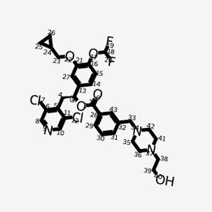 O=C(O[C@@H](Cc1c(Cl)cncc1Cl)c1ccc(OC(F)F)c(OCC2CC2)c1)c1cccc(CN2CCN(CCO)CC2)c1